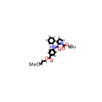 COCCCOC(=O)c1ccc(NC(=O)[C@@H]2[C@H](C3CCCCC3)CCN2C(=O)OC(C)(C)C)cc1